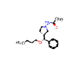 COCCCO[C@@H](c1ccccc1)[C@@H]1CCN(NC(=O)C=O)C1